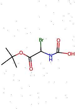 CC(C)(C)OC(=O)C(Br)NC(=O)O